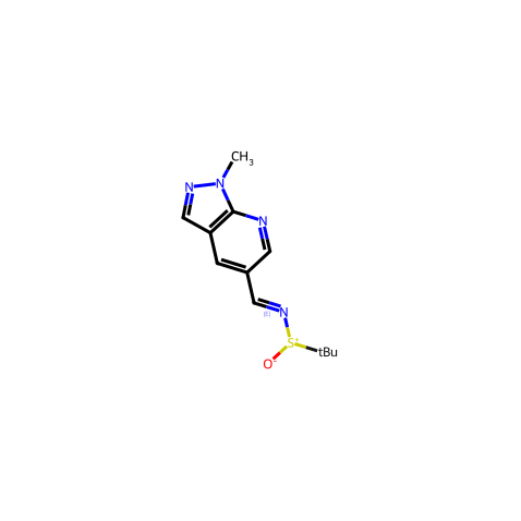 Cn1ncc2cc(/C=N/[S+]([O-])C(C)(C)C)cnc21